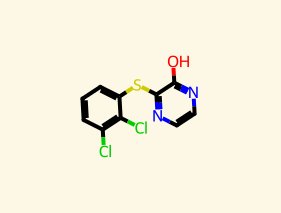 Oc1nccnc1Sc1cccc(Cl)c1Cl